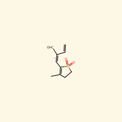 C=C/C(C=O)=C\C1=C(C)CCS1(=O)=O